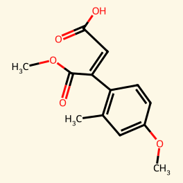 COC(=O)C(=CC(=O)O)c1ccc(OC)cc1C